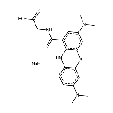 CN(C)c1ccc2c(c1)Sc1cc(N(C)C)cc(C(=O)NCC(=O)O)c1N2.[NaH]